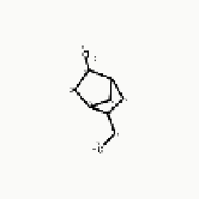 CC1CC2CC1CC2CO